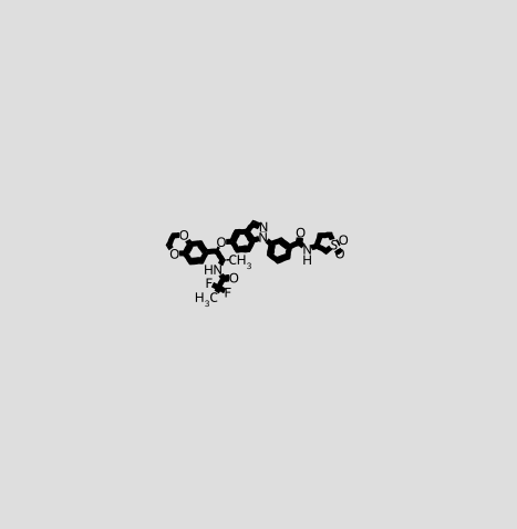 C[C@H](NC(=O)C(C)(F)F)[C@H](Oc1ccc2c(cnn2-c2cccc(C(=O)NC3CCS(=O)(=O)C3)c2)c1)c1ccc2c(c1)OCCO2